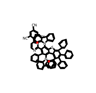 N#Cc1cc(C#N)c(-c2ccnc(-c3c(-c4ccccc4)c(-n4c5ccccc5c5ccccc54)c4c(sc5c(-c6ccccc6)c(-c6ccccc6)c(-c6ccccc6)c(-c6ccccc6)c54)c3-n3c4ccccc4c4ccccc43)n2)c(C#N)c1